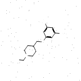 COc1cc(NCC2CCN(CC(F)(F)F)CC2)cc(OC)c1